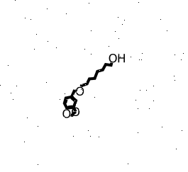 OCCCCCCCCOCc1ccc2c(c1)OCO2